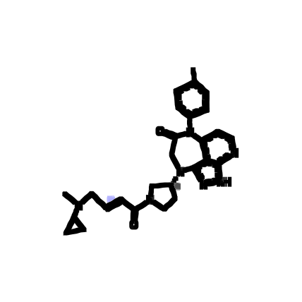 Cc1ccc(N2C(=O)CN([C@@H]3CCN(C(=O)/C=C/CN(C)C4CC4)C3)c3n[nH]c4nccc2c34)cc1